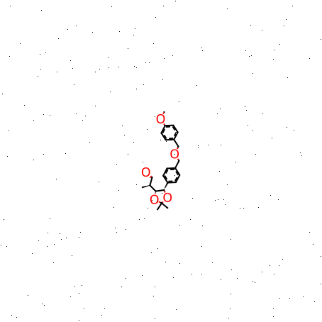 COc1ccc(COCc2ccc([C@H]3OC(C)(C)O[C@@H]3[C@@H](C)C=O)cc2)cc1